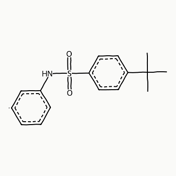 CC(C)(C)c1ccc(S(=O)(=O)Nc2c[c]ccc2)cc1